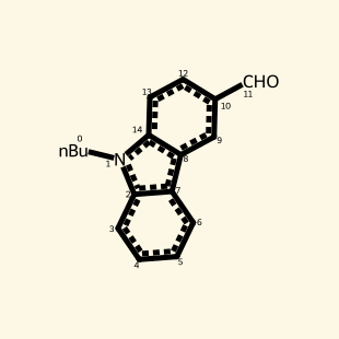 CCCCn1c2ccccc2c2cc(C=O)ccc21